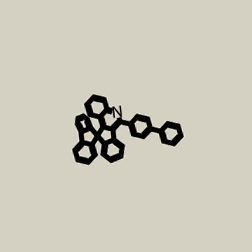 c1ccc(-c2ccc(-c3nc4ccccc4c4c3-c3ccccc3C43c4ccccc4-c4ccccc43)cc2)cc1